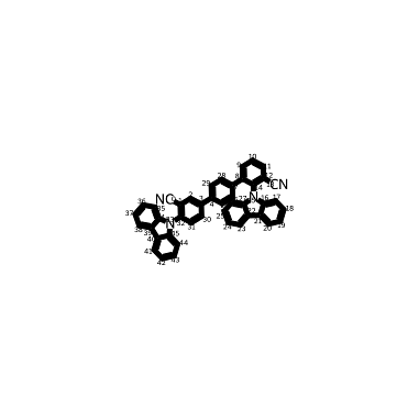 N#Cc1cc(-c2ccc(-c3cccc(C#N)c3-n3c4ccccc4c4ccccc43)cc2)ccc1-n1c2ccccc2c2ccccc21